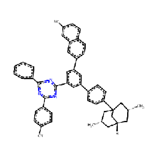 C[C@@H]1C[C@@H]2C[C@H](C)CC(c3ccc(-c4cc(-c5ccc6ccc(C#N)cc6c5)cc(-c5nc(-c6ccccc6)nc(-c6ccc(C#N)cc6)n5)c4)cc3)(C1)C2